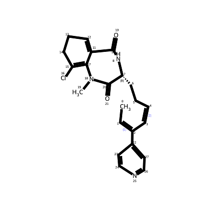 C/C=C(\C=C/CC[C@H]1NC(=O)C2=CCCC(Cl)=C2N(C)C1=O)c1ccncc1